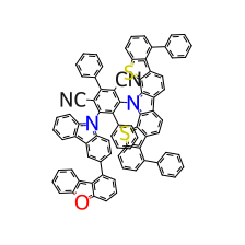 N#Cc1c(-c2ccccc2)c(C#N)c(-n2c3c(ccc4c3sc3cccc(-c5ccccc5)c34)c3ccc4c(sc5cccc(-c6ccccc6)c54)c32)c(-c2ccccc2)c1-n1c2ccccc2c2cc(-c3cccc4oc5ccccc5c34)ccc21